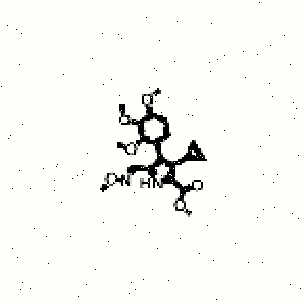 CO/N=C/c1[nH]c(C(=O)OC)c(C2CC2)c1-c1ccc(OC)c(OC)c1OC